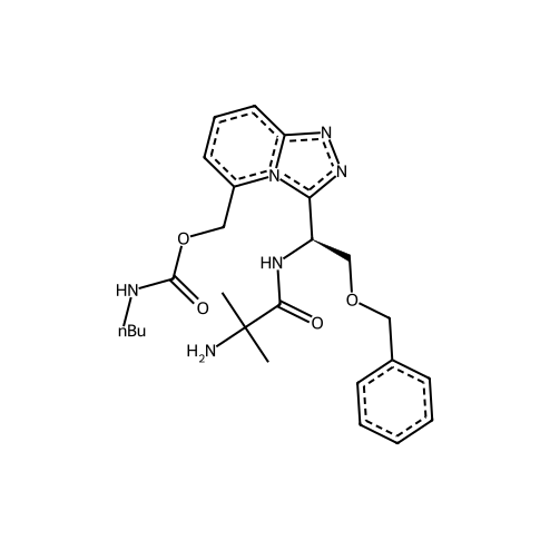 CCCCNC(=O)OCc1cccc2nnc([C@@H](COCc3ccccc3)NC(=O)C(C)(C)N)n12